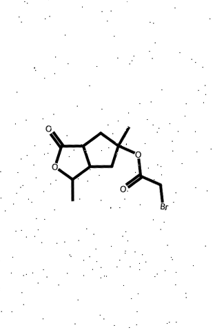 CC1OC(=O)C2CC(C)(OC(=O)CBr)CC12